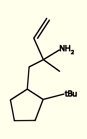 C=CC(C)(N)CC1CCCC1C(C)(C)C